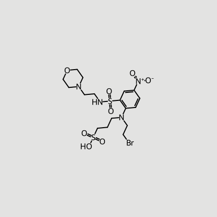 O=[N+]([O-])c1ccc(N(CCBr)CCCS(=O)(=O)O)c(S(=O)(=O)NCCN2CCOCC2)c1